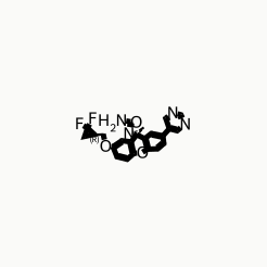 NC1=N[C@]2(CO1)c1cc(OC[C@H]3CC3(F)F)ccc1Oc1ccc(-c3cncnc3)cc12